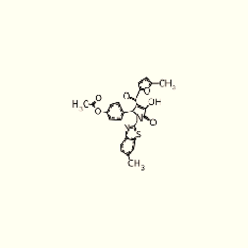 CC(=O)Oc1ccc(C2C(C(=O)c3ccc(C)o3)=C(O)C(=O)N2c2nc3ccc(C)cc3s2)cc1